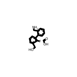 NCc1ccccc1-c1cccc(CO)c1F.O=CO